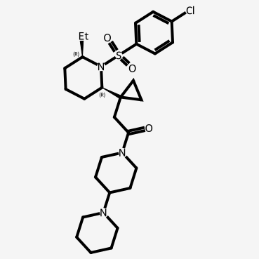 CC[C@@H]1CCC[C@H](C2(CC(=O)N3CCC(N4CCCCC4)CC3)CC2)N1S(=O)(=O)c1ccc(Cl)cc1